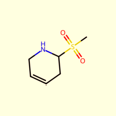 CS(=O)(=O)C1C[C]=CCN1